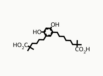 CC(C)(CCCCCCc1cc(CCCCC(C)(C)C(=O)O)c(O)cc1O)C(=O)O